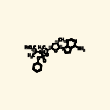 CCOC(=O)[C@H](C)NP(=O)(Oc1ccccc1)OC(C)[C@@H]1C[C@H](C)[C@H](n2ccc3c(N)ncnc32)O1